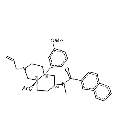 C=CCN1CC[C@@]2(c3cccc(OC)c3)C[C@@H](N(C)C(=O)c3ccc4ccccc4c3)CC[C@]2(OC(C)=O)C1